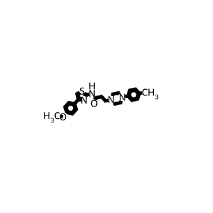 COc1ccc(-c2csc(NC(=O)CCN3CCN(c4ccc(C)cc4)CC3)n2)cc1